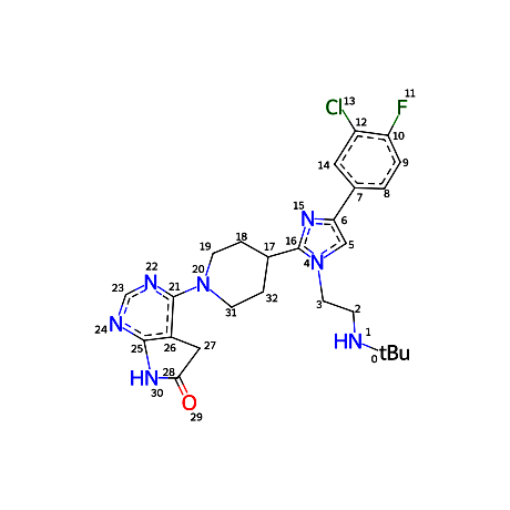 CC(C)(C)NCCn1cc(-c2ccc(F)c(Cl)c2)nc1C1CCN(c2ncnc3c2CC(=O)N3)CC1